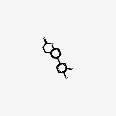 N#Cc1ccc(-c2ccc3c(c2)CCC(=O)N3)cc1F